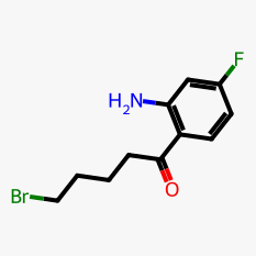 Nc1cc(F)ccc1C(=O)CCCCBr